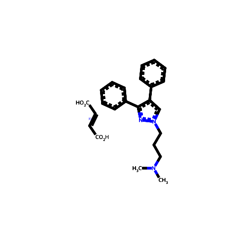 CN(C)CCCn1cc(-c2ccccc2)c(-c2ccccc2)n1.O=C(O)/C=C/C(=O)O